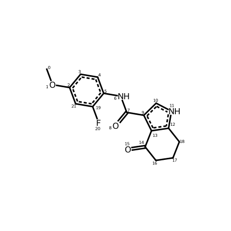 COc1ccc(NC(=O)c2c[nH]c3c2C(=O)CCC3)c(F)c1